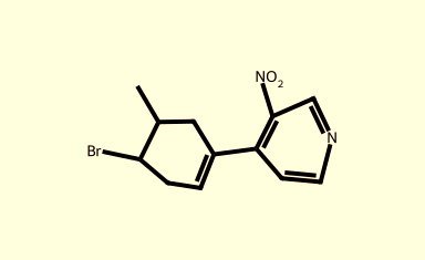 CC1CC(c2ccncc2[N+](=O)[O-])=CCC1Br